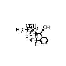 C#CC(CO[Si](C)(C)C(C)(C)C)c1ccccc1C(F)(F)F